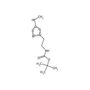 CPc1cnn(CCNC(=O)OC(C)(C)C)c1